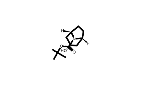 CC(C)(C)OC(=O)N1[C@@H]2CC[C@H]1C[C@@H](O)C2